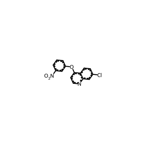 O=[N+]([O-])c1cccc(Oc2ccnc3cc(Cl)ccc23)c1